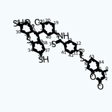 Cc1cc(=O)oc2cc(SSc3ccc(C(=S)Nc4ccc(C(=O)O)c(-c5c6ccc(=S)cc-6sc6cc(S)ccc56)c4)cc3)ccc12